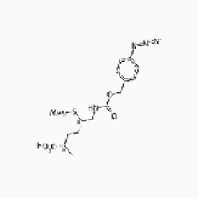 CSS[C@@H](CC[C@H](C)C(=O)O)CNC(=O)OCc1ccc(N=[N+]=[N-])cc1